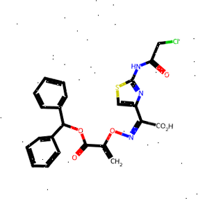 C=C(ON=C(C(=O)O)c1csc(NC(=O)CCl)n1)C(=O)OC(c1ccccc1)c1ccccc1